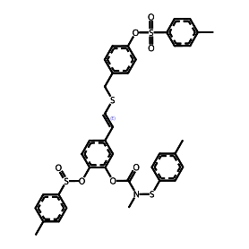 Cc1ccc(SN(C)C(=O)Oc2cc(/C=C/SCc3ccc(OS(=O)(=O)c4ccc(C)cc4)cc3)ccc2OS(=O)c2ccc(C)cc2)cc1